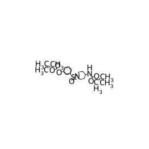 CC(C)(C)OC(=O)NC1CCN([S+]([O-])c2cccc(OC(=O)OC(C)(C)C)c2)CC1